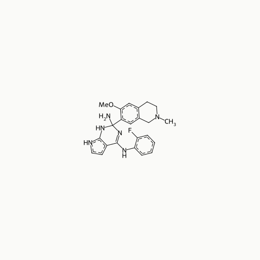 COc1cc2c(cc1C1(N)N=C(Nc3ccccc3F)c3cc[nH]c3N1)CN(C)CC2